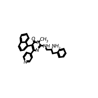 Cn1c(NC[C@H](N)Cc2ccccc2)nc(-c2ccncc2)c(-c2cccc3ccccc23)c1=O